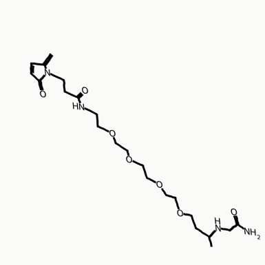 C=C1C=CC(=O)N1CCC(=O)NCCOCCOCCOCCOCCC(C)NCC(N)=O